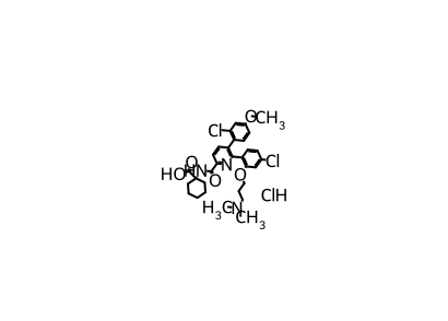 COc1ccc(-c2ccc(C(=O)NC3(C(=O)O)CCCCC3)nc2-c2ccc(Cl)cc2OCCCN(C)C)c(Cl)c1.Cl